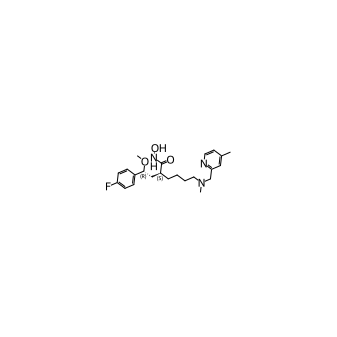 CO[C@H](C[C@H](CCCCN(C)Cc1cc(C)ccn1)C(=O)NO)c1ccc(F)cc1